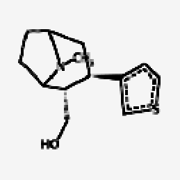 CN1C2CCC1[C@@H](CO)[C@H](c1ccsc1)C2